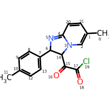 CC1=CN2C(=NC(c3ccc(C)cc3)C2C(=O)C(=O)Cl)C=C1